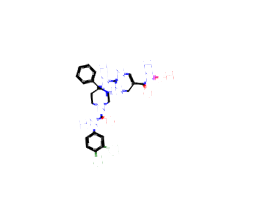 O=C(NO)C1=CN=C(NC2(c3ccccc3)CCN(C(=O)Nc3ccc(Cl)c(Cl)c3)CC2)NC1